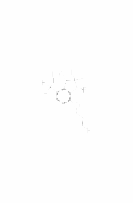 O[C@H]1c2c(C(F)(F)F)ccc(OCCCF)c2[C@H](F)C1(F)F